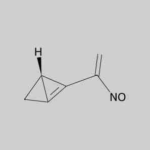 C=C(N=O)C1=C2C[C@@H]21